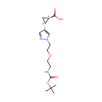 CC(C)(C)OC(=O)NCCOCCn1cc([C@@H]2C[C@H]2C(=O)O)cn1